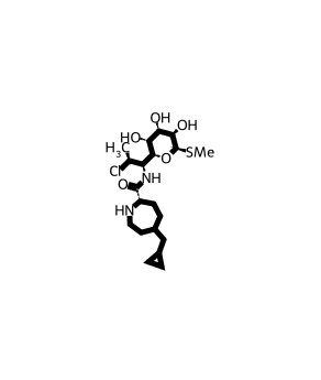 CS[C@H]1O[C@H]([C@H](NC(=O)[C@@H]2CCC(CC3CC3)CCN2)[C@H](C)Cl)[C@H](O)[C@H](O)[C@H]1O